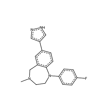 CN1CCN(c2ccc(F)cc2)c2ccc(-c3cn[nH]c3)cc2C1